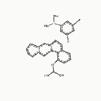 CC(C)(C)P(c1cc(F)cc(F)c1)C(C)(C)C.OB(O)Oc1cccc2ccc3cc4ccccc4cc3c12